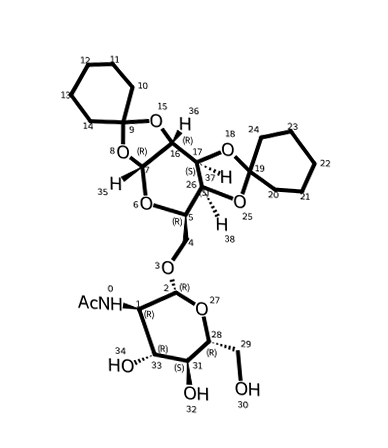 CC(=O)N[C@H]1[C@H](OC[C@H]2O[C@@H]3OC4(CCCCC4)O[C@@H]3[C@H]3OC4(CCCCC4)O[C@H]32)O[C@H](CO)[C@@H](O)[C@@H]1O